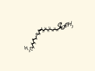 CCCCCCSC/C=C\CCCCCCCC(=O)OC